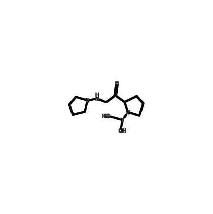 O=C(CNN1CCCC1)C1CCCN1B(O)O